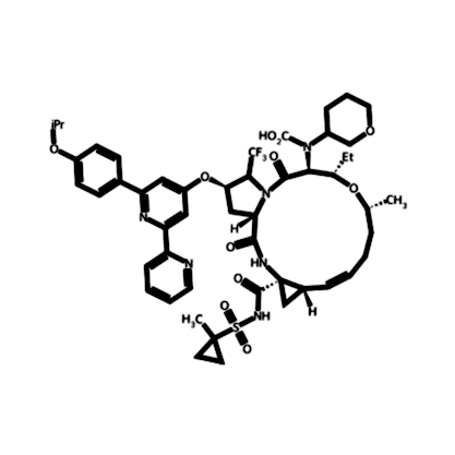 CC[C@@H]1O[C@H](C)CC/C=C\[C@@H]2C[C@@]2(C(=O)NS(=O)(=O)C2(C)CC2)NC(=O)[C@@H]2C[C@@H](Oc3cc(-c4ccc(OC(C)C)cc4)nc(-c4ccccn4)c3)C(C(F)(F)F)N2C(=O)[C@H]1N(C(=O)O)C1CCCOC1